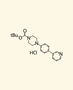 CC(C)(C)OC(=O)N1CCN(c2ccc(-c3cccnc3)cc2)CC1.Cl